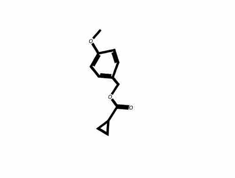 COc1ccc(COC(=O)[C]2CC2)cc1